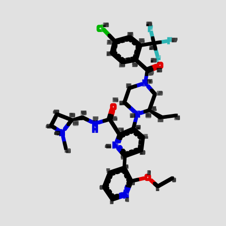 CCOc1ncccc1-c1ccc(N2CCN(C(=O)c3ccc(Cl)cc3C(F)(F)F)C[C@H]2CC)c(C(=O)NC[C@@H]2CCN2C)n1